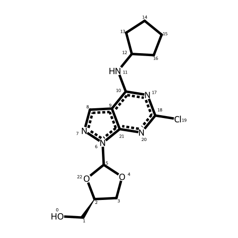 OC[C@@H]1COC(n2ncc3c(NC4CCCC4)nc(Cl)nc32)O1